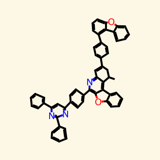 CC1CC(c2ccc(-c3cccc4oc5ccccc5c34)cc2)=Cc2nc(-c3ccc(-c4cc(-c5ccccc5)nc(-c5ccccc5)n4)cc3)c3oc4ccccc4c3c21